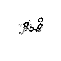 Cc1cc(Cl)cc([C@@H](CN(C)C)n2ccc(-c3c[nH]c4ncc(N5CCCCC5)cc34)cc2=O)c1